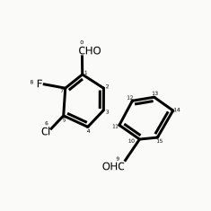 O=Cc1cccc(Cl)c1F.O=Cc1ccccc1